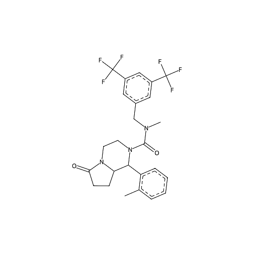 Cc1ccccc1C1C2CCC(=O)N2CCN1C(=O)N(C)Cc1cc(C(F)(F)F)cc(C(F)(F)F)c1